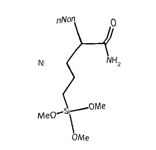 CCCCCCCCCC(CCC[Si](OC)(OC)OC)C(N)=O.[N]